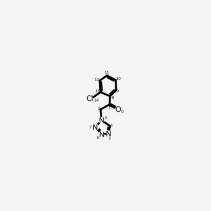 O=C(Cn1cnnn1)c1ccccc1Cl